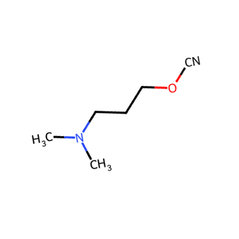 CN(C)CCCOC#N